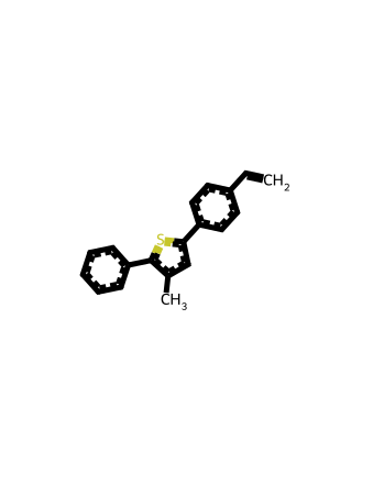 C=Cc1ccc(-c2cc(C)c(-c3ccccc3)s2)cc1